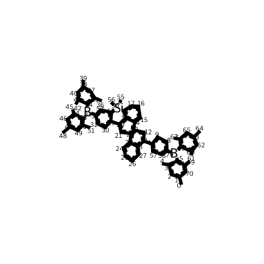 Cc1cc(C)c(B(c2ccc(-c3cc4c5cccc6c5c(cc4c4ccccc34)-c3ccc(B(c4c(C)cc(C)cc4C)c4c(C)cc(C)cc4C)cc3[Si]6(C)C)cc2)c2c(C)cc(C)cc2C)c(C)c1